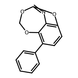 c1ccc(-c2ccc3oc4nc3c2OCO4)cc1